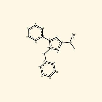 CC(Br)c1cc(-c2ccccc2)n(Cc2ccccc2)n1